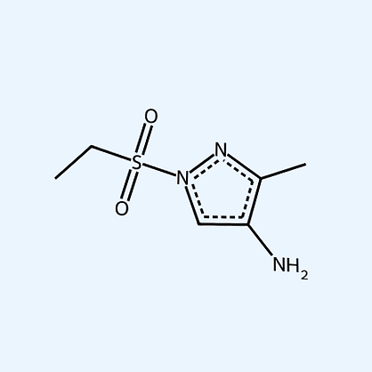 CCS(=O)(=O)n1cc(N)c(C)n1